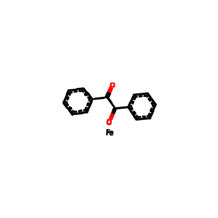 O=C(C(=O)c1ccccc1)c1ccccc1.[Fe]